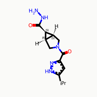 CC(C)c1cc(C(=O)N2C[C@@H]3[C@H](C2)[C@@H]3C(=O)NN)n[nH]1